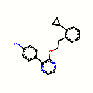 Nc1ccc(-c2nccnc2OCCc2ccccc2C2CC2)cc1